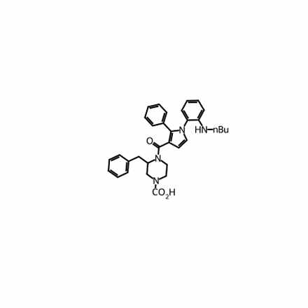 CCCCNc1ccccc1-n1ccc(C(=O)N2CCN(C(=O)O)CC2Cc2ccccc2)c1-c1ccccc1